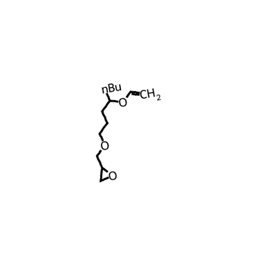 C=COC(CCCC)CCCOCC1CO1